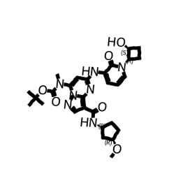 CO[C@@H]1CC[C@@H](NC(=O)c2cnn3c(N(C)C(=O)OC(C)(C)C)cc(Nc4cccn([C@@H]5CC[C@@H]5O)c4=O)nc23)C1